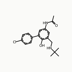 CC(=O)Nc1cc(CNC(C)(C)C)c(O)c(-c2ccc(Cl)cc2)c1